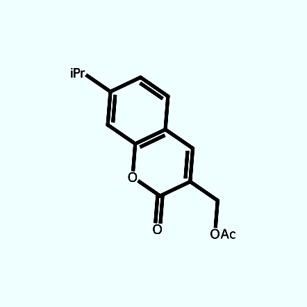 CC(=O)OCc1cc2ccc(C(C)C)cc2oc1=O